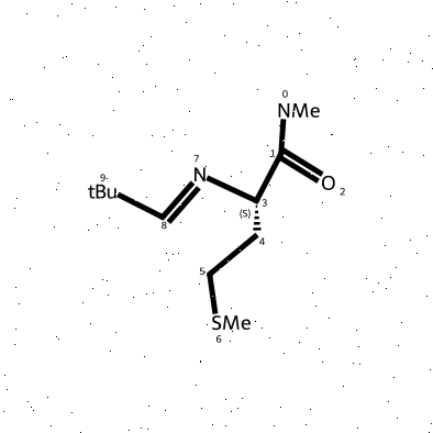 CNC(=O)[C@H](CCSC)N=CC(C)(C)C